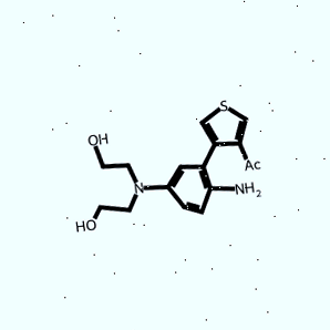 CC(=O)c1cscc1-c1cc(N(CCO)CCO)ccc1N